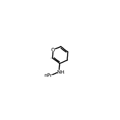 CCCNC1=[C]OC=CC1